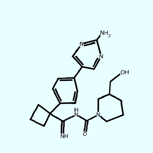 N=C(NC(=O)N1CCCC(CO)C1)C1(c2ccc(-c3cnc(N)nc3)cc2)CCC1